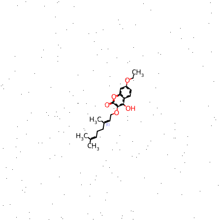 CCOc1ccc2c(O)c(OC/C=C(\C)CCC=C(C)C)c(=O)oc2c1